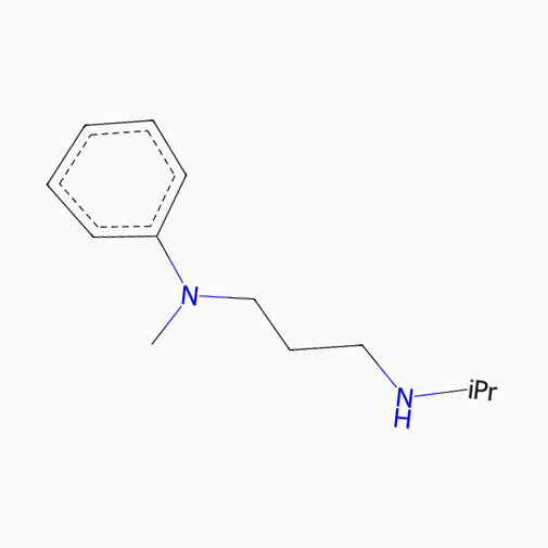 CC(C)NCCCN(C)c1ccccc1